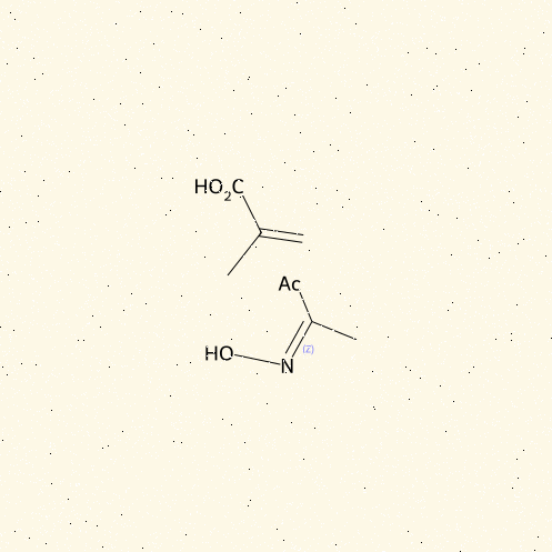 C=C(C)C(=O)O.CC(=O)/C(C)=N\O